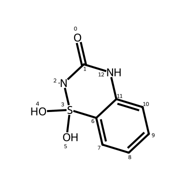 O=C1[N]S(O)(O)c2ccccc2N1